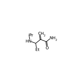 C=C(C(N)=O)C(CC)NC(C)C